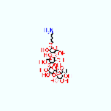 NCCCCCO[C@H]1OC(CO)[C@@H](O[C@@H]2OC(CO)[C@@H](O[C@@H]3OC(C(=O)O)[C@@H](O[C@H]4OC(CO)[C@H](O)[C@H](O)C4O)[C@H](O)C3O)[C@H](O)C2O)[C@H](O)C1O